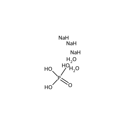 O.O.O=P(O)(O)O.[NaH].[NaH].[NaH]